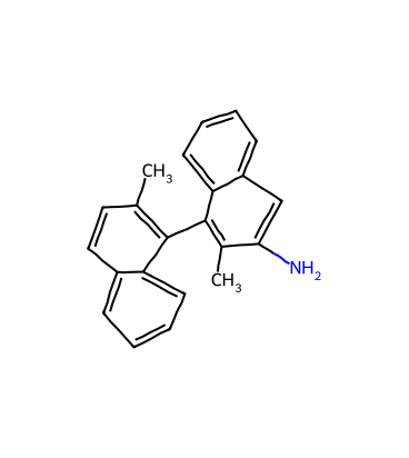 Cc1ccc2ccccc2c1-c1c(C)c(N)cc2ccccc12